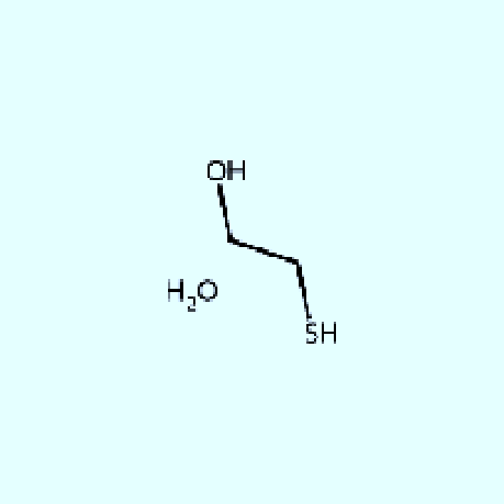 O.OCCS